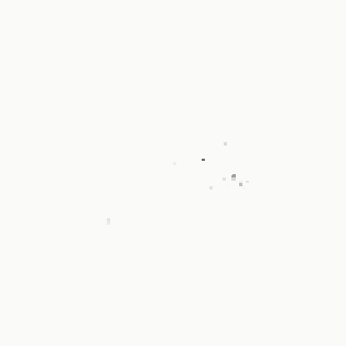 COC(=O)[C@]12CCCC=C1C1(C)CCC(=O)C(C)=C1CC2